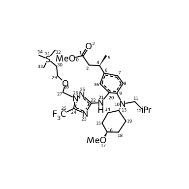 COC(=O)C[C@@H](C)c1ccc(N(CC(C)C)[C@H]2CC[C@H](OC)CC2)c(Nc2nc(C(F)(F)F)n(COCCS(C)(C)C)n2)c1